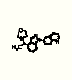 CC(c1cccc2c1cnn2-c1ccc2ncccc2c1)N1CCOCC1